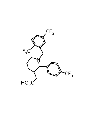 O=C(O)CC1CCCN(Cc2cc(C(F)(F)F)ccc2C(F)(F)F)C1c1ccc(C(F)(F)F)cc1